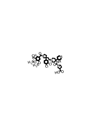 COc1cc(C(=O)N2CCC(CCN3CCC(NC(=O)N4CCC(C(=O)O)C4)(c4ccncc4)CC3)(c3ccc(Cl)c(Cl)c3)C2)cc(OC)c1OC